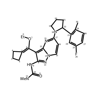 CCOC(=C1CCC1)c1c(NC(=O)NC)nn2ccc(N3CCCC3c3cc(F)ccc3C)nc12